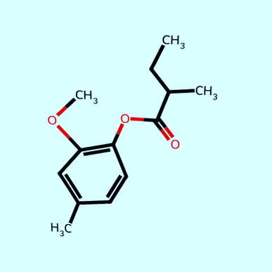 CCC(C)C(=O)Oc1ccc(C)cc1OC